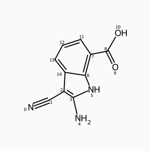 N#Cc1c(N)[nH]c2c(C(=O)O)cccc12